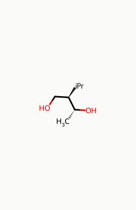 CC(C)[C@H](CO)[C@@H](C)O